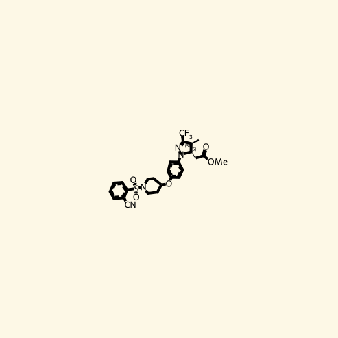 COC(=O)C[C@H]1[C@H](C)C(C(F)(F)F)=NN1c1ccc(OC2CCN(S(=O)(=O)c3ccccc3C#N)CC2)cc1